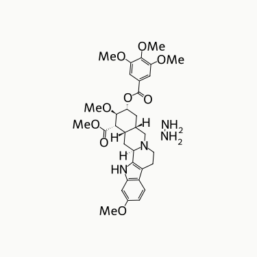 COC(=O)[C@H]1[C@H]2C[C@@H]3c4[nH]c5cc(OC)ccc5c4CCN3C[C@H]2C[C@@H](OC(=O)c2cc(OC)c(OC)c(OC)c2)[C@@H]1OC.NN